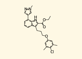 CCOC(=O)c1[nH]c2c(-c3cnn(C)c3)cccc2c1CCCOc1cc(C)c(Cl)c(C)c1